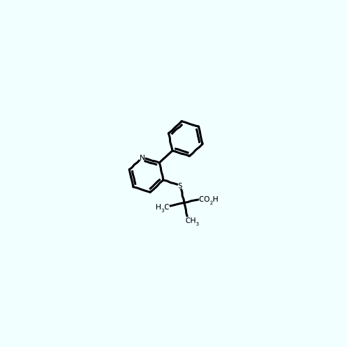 CC(C)(Sc1cccnc1-c1ccccc1)C(=O)O